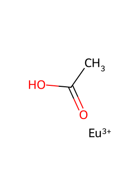 CC(=O)O.[Eu+3]